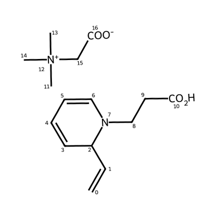 C=CC1C=CC=CN1CCC(=O)O.C[N+](C)(C)CC(=O)[O-]